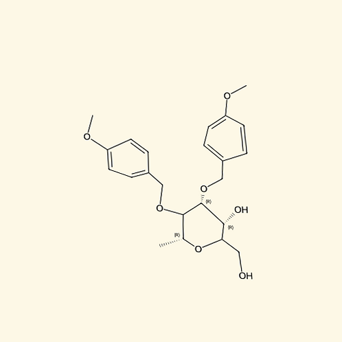 COc1ccc(COC2[C@@H](C)OC(CO)[C@@H](O)[C@H]2OCc2ccc(OC)cc2)cc1